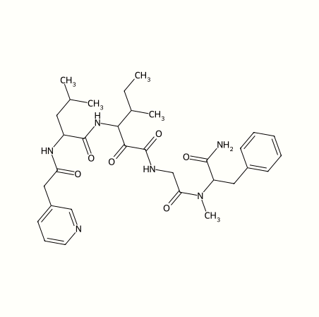 CCC(C)C(NC(=O)C(CC(C)C)NC(=O)Cc1cccnc1)C(=O)C(=O)NCC(=O)N(C)C(Cc1ccccc1)C(N)=O